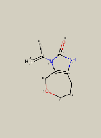 C=C(CC)n1c2c([nH]c1=O)CCCOC2